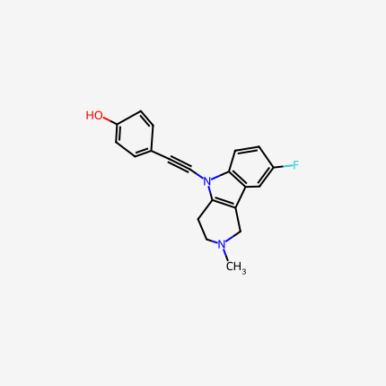 CN1CCc2c(c3cc(F)ccc3n2C#Cc2ccc(O)cc2)C1